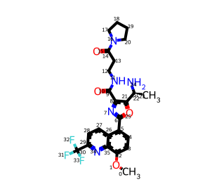 COc1ccc(-c2nc(C(=O)NCCC(=O)N3CCCC3)c([C@H](C)N)o2)c2ccc(C(F)(F)F)nc12